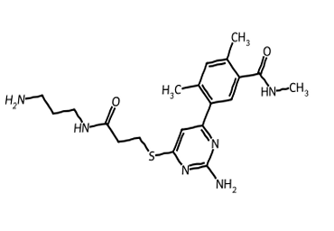 CNC(=O)c1cc(-c2cc(SCCC(=O)NCCCN)nc(N)n2)c(C)cc1C